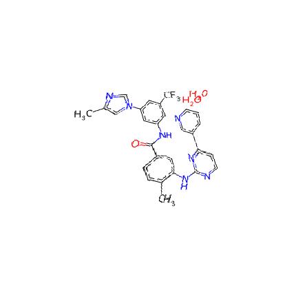 Cc1cn(-c2cc(NC(=O)c3ccc(C)c(Nc4nccc(-c5cccnc5)n4)c3)cc(C(F)(F)F)c2)cn1.O.O